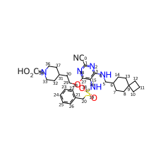 N#Cc1nc(NCC2CCC3(CCC3)CC2)c(NS(=O)(=O)Cc2ccccc2)c(OCCC2CCN(C(=O)O)CC2)n1